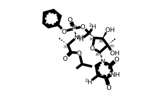 [2H]c1cn([C@@H]2O[C@H](C([2H])([2H])O[P@@](=O)(N[C@@H](C)C(=O)OC(C)C)Oc3ccccc3)[C@@H](O)[C@@]2(C)O)c(=O)[nH]c1=O